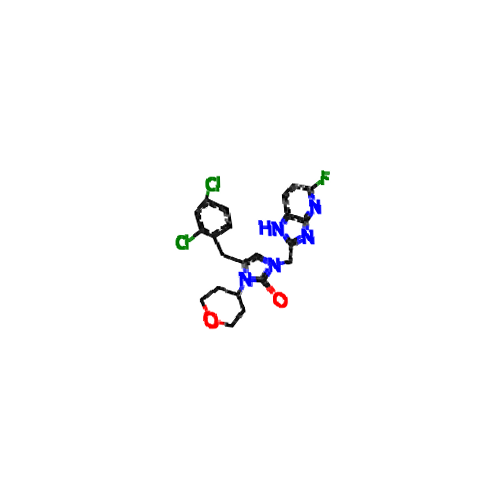 O=c1n(Cc2nc3nc(F)ccc3[nH]2)cc(Cc2ccc(Cl)cc2Cl)n1C1CCOCC1